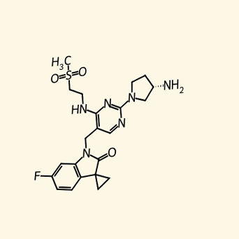 CS(=O)(=O)CCNc1nc(N2CC[C@H](N)C2)ncc1CN1C(=O)C2(CC2)c2ccc(F)cc21